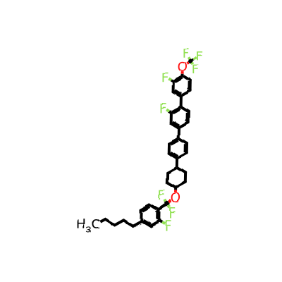 CCCCCc1ccc(C(F)(F)OC2CCC(c3ccc(-c4ccc(-c5ccc(OC(F)(F)F)c(F)c5)c(F)c4)cc3)CC2)c(F)c1